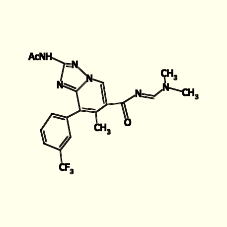 CC(=O)Nc1nc2c(-c3cccc(C(F)(F)F)c3)c(C)c(C(=O)/N=C/N(C)C)cn2n1